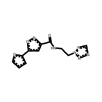 O=C(NCCn1ncnn1)c1cc(-c2ccco2)on1